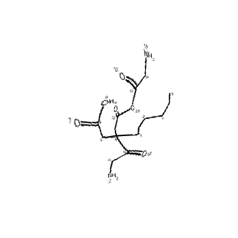 CCCCC(CC(=O)O)(C(=O)CN)C(=O)OC(=O)CN